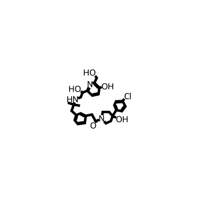 CC(C)(Cc1cccc(CC(=O)N2CCC(O)(c3ccc(Cl)cc3)CC2)c1)NCC(O)c1ccc(O)c(CO)n1